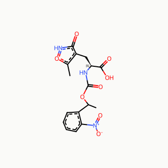 Cc1o[nH]c(=O)c1C[C@H](NC(=O)OC(C)c1ccccc1[N+](=O)[O-])C(=O)O